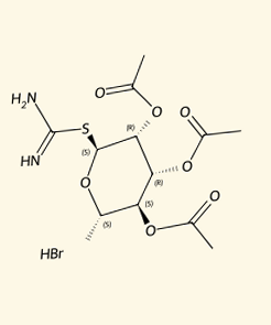 Br.CC(=O)O[C@@H]1[C@@H](OC(C)=O)[C@H](C)O[C@@H](SC(=N)N)[C@@H]1OC(C)=O